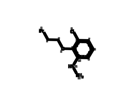 CC(C)CCOc1c(Cl)cccc1NN